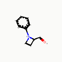 O=CC1CCN1c1ccccc1